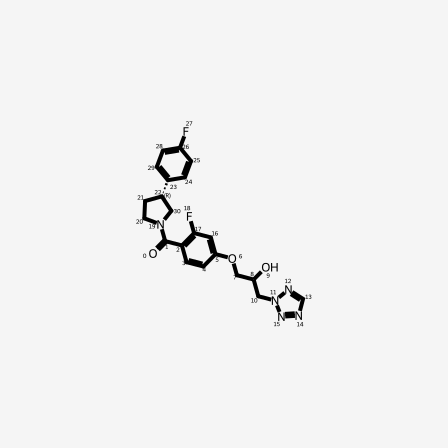 O=C(c1ccc(OCC(O)Cn2ncnn2)cc1F)N1CC[C@H](c2ccc(F)cc2)C1